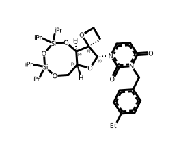 CCc1ccc(Cn2c(=O)ccn([C@@H]3O[C@@H]4CO[Si](C(C)C)(C(C)C)O[Si](C(C)C)(C(C)C)O[C@H]4[C@]34CCO4)c2=O)cc1